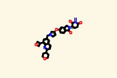 O=C1CC[C@H](N2Cc3cc(O[C@H]4CCN(Cc5cc(C6COC6)c6nc(C7CCOCC7)ccc6c5)C4)ccc3C2=O)C(=O)N1